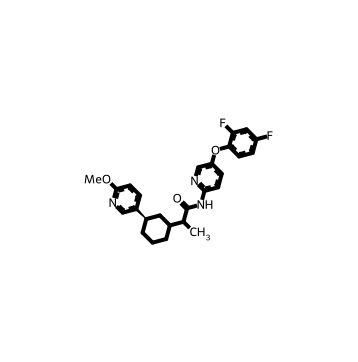 COc1ccc([C@@H]2CCCC(C(C)C(=O)Nc3ccc(Oc4ccc(F)cc4F)cn3)C2)cn1